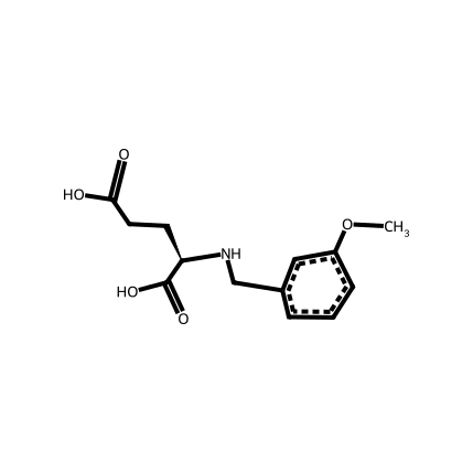 COc1cccc(CN[C@H](CCC(=O)O)C(=O)O)c1